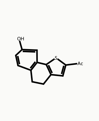 CC(=O)c1cc2c(s1)-c1cc(O)ccc1CC2